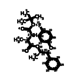 C[C@H](NC(=O)OC(C)(C)C)C(=O)O[C@@H](C)[C@H](Oc1ccc(F)cc1)c1ccccc1